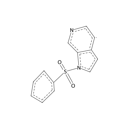 O=S(=O)(c1ccccc1)n1ccc2[c]cncc21